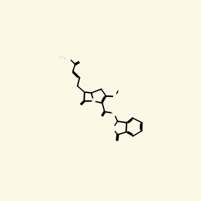 CCSC1=C(C(=O)OC2OC(=O)c3ccccc32)N2C(=O)C(C/C=C/C(=O)OC)C2C1